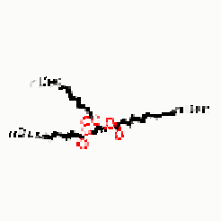 CCCCCCCCCCCCCCCCCCC(=O)OC[C@@H](COC(=O)CCCCCCCCCCCCCC)OC(=O)CCCCCCCCCCCCCCCC